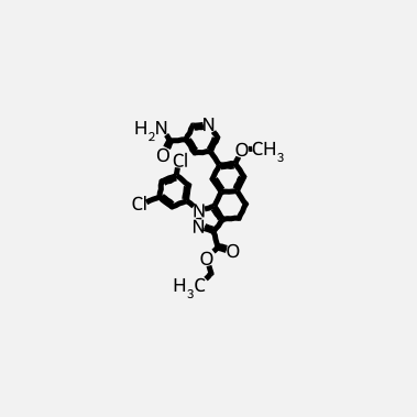 CCOC(=O)c1nn(-c2cc(Cl)cc(Cl)c2)c2c1CCc1cc(OC)c(-c3cncc(C(N)=O)c3)cc1-2